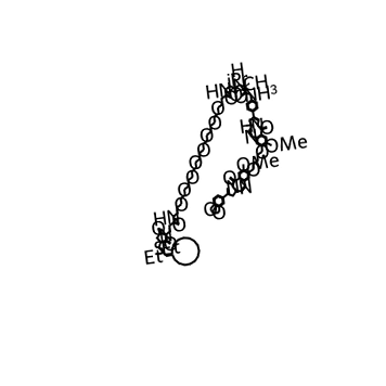 CCC(CC)(CC1CCCCCCCCCCCCCC1)SC1CC(=O)N(CCC(=O)NCCOCCOCCOCCOCCOCCOCCOCCOCCC(=O)N[C@H](C(=O)N[C@@H](C)C(=O)Nc2ccc(C3=CN4C(=O)c5cc(OC)c(OCCCOc6cc7c(cc6OC)C(=O)N6C=C(c8ccc9c(c8)OCO9)CC6C=N7)cc5N=C[C@@H]4C3)cc2)C(C)C)C1=O